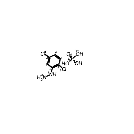 NNc1cc(Cl)ccc1Cl.O=P(O)(O)O